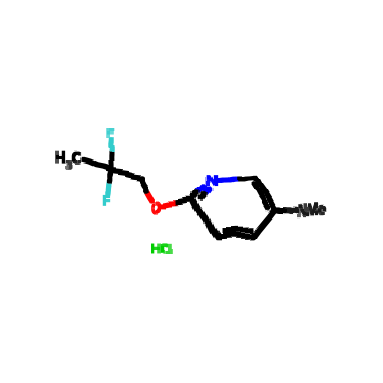 CNc1ccc(OCC(C)(F)F)nc1.Cl